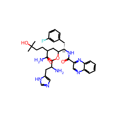 CC(C)(O)CCC(CC(OC(=O)C(N)Cc1cnc[nH]1)[C@H](Cc1cccc(F)c1)NC(=O)c1cnc2ccccc2n1)C(N)=O